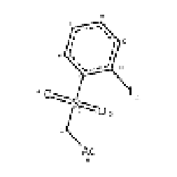 CC(=O)CS(=O)(=O)c1ccccc1I